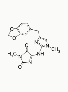 CN1C(=O)N=C(Nc2nc(Cc3ccc4c(c3)OCO4)cn2C)C1=O